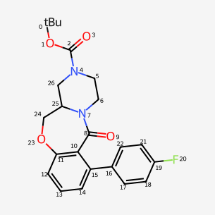 CC(C)(C)OC(=O)N1CCN2C(=O)c3c(cccc3-c3ccc(F)cc3)OCC2C1